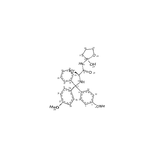 COc1ccc(C(N[C@@H](C)C(=O)N[P]2(O)OCCS2)(c2ccccc2)c2ccc(OC)cc2)cc1